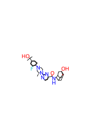 C[C@H]1CN(c2ccc(C(C)(C)O)cc2F)CCN1c1nccc(C(=O)NC2C3CC4CC2CC(O)(C4)C3)n1